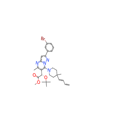 C=C/C=C/C1(C)CCN(c2c([C@H](OC(C)(C)C)C(=O)OC)c(C)nc3cc(-c4cccc(Br)c4)nn23)CC1